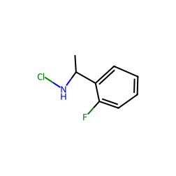 CC(NCl)c1ccccc1F